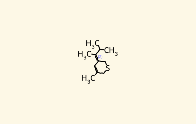 CC1=C/C(=C(\C)C(C)C)CSC1